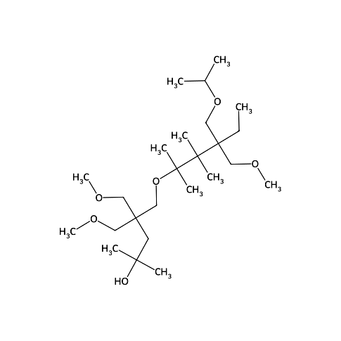 CCC(COC)(COC(C)C)C(C)(C)C(C)(C)OCC(COC)(COC)CC(C)(C)O